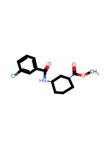 COC(=O)[C@@H]1CCC[C@H](NC(=O)c2cccc(Cl)c2)C1